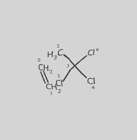 C=C.CC(Cl)(Cl)Cl